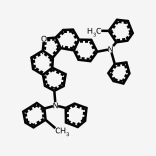 Cc1ccccc1N(c1ccccc1)c1ccc2c(ccc3oc4ccc5cc(N(c6ccccc6)c6ccccc6C)ccc5c4c32)c1